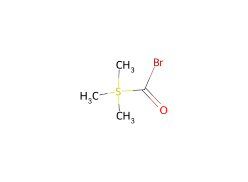 CS(C)(C)C(=O)Br